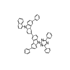 C1=CC2C(C=C1c1ccc3c(c1)c1cc(-c4ccccc4)ccc1n3-c1nc(-c3ccccc3)nc(-c3ccccc3)n1)c1cc(-c3ccccc3)ccc1N2c1cccc2ccccc12